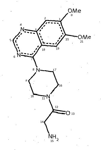 COc1cc2ncnc(N3CCN(C(=O)CN)CC3)c2cc1OC